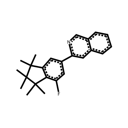 CC1(C)c2cc(-c3cc4ccccc4cn3)cc(F)c2C(C)(C)C1(C)C